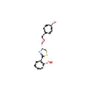 Oc1ccccc1C1=N[C@H](COCc2ccc(Br)cc2)CS1